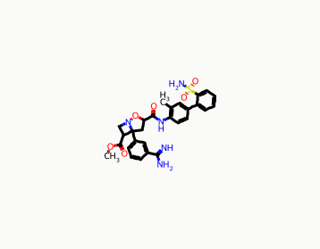 COC(=O)C1CN2OC(C(=O)Nc3ccc(-c4ccccc4S(N)(=O)=O)cc3C)CC12c1cccc(C(=N)N)c1